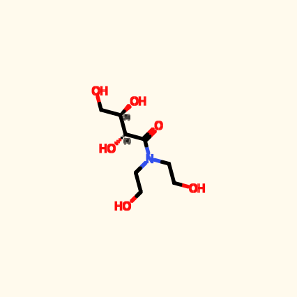 O=C([C@H](O)[C@H](O)CO)N(CCO)CCO